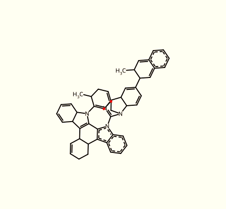 CC1CC=CC=C1N1C2=C(C3C=CCCC3c3c2n(C2=NC4CN2C2C=CC(C5C=c6ccccc6=CC5C)=CC42)c2ccccc32)C2C=CC=CC21